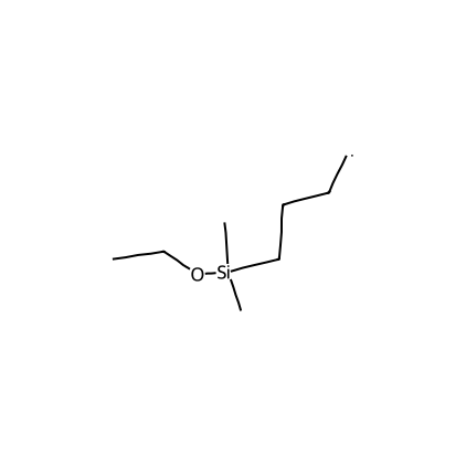 [CH2]CCC[Si](C)(C)OCC